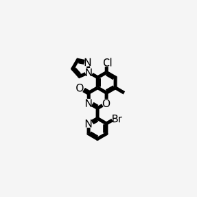 Cc1cc(Cl)c(-n2cccn2)c2c(=O)nc(-c3ncccc3Br)oc12